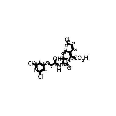 O=C(CSc1cc(Cl)nc(Cl)c1)N[C@@H]1C(=O)N2C(C(=O)O)=C(/C=C\CCl)CS[C@H]12